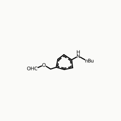 CCCCNc1ccc(COC=O)cc1